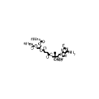 C#CC(COC(=O)CCC(=O)OC(COC(=O)CCCCCC)COC(=O)CCCCCC)(OC)[C@@H](O)Cn1cnc2c(N)nc(F)nc21